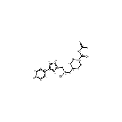 C=C(C)OC(=O)N1CCC(CN(CC)Cc2nc(-c3ccncc3)no2)CC1